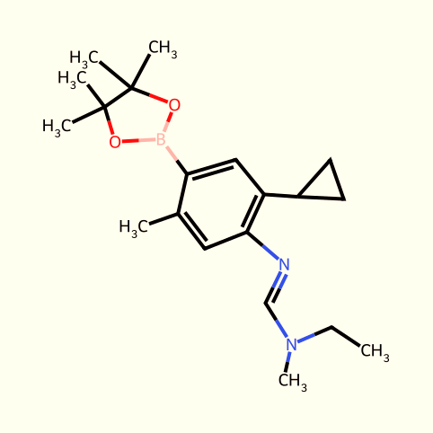 CCN(C)C=Nc1cc(C)c(B2OC(C)(C)C(C)(C)O2)cc1C1CC1